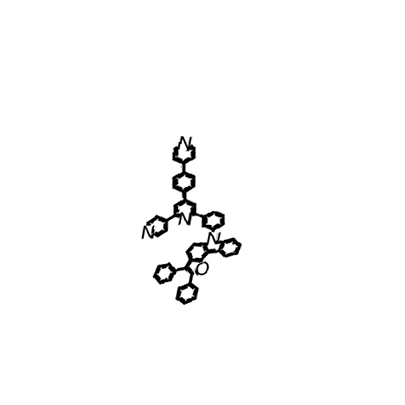 c1ccc(-c2oc3c(ccc4c3c3ccccc3n4-c3cccc(-c4cc(-c5ccc(-c6ccncc6)cc5)cc(-c5ccncc5)n4)c3)c2-c2ccccc2)cc1